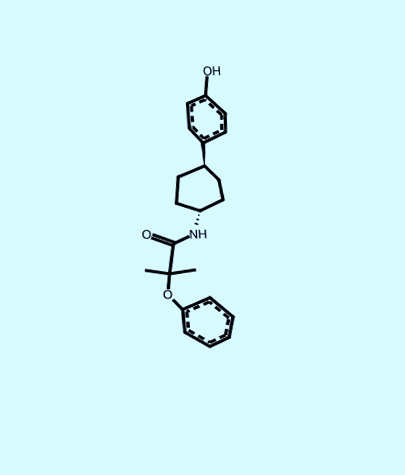 CC(C)(Oc1ccccc1)C(=O)N[C@H]1CC[C@H](c2ccc(O)cc2)CC1